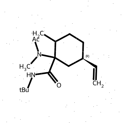 [CH2]C1CC[C@@H](C=C)CC1(C(=O)NC(C)(C)C)N(C)C(C)=O